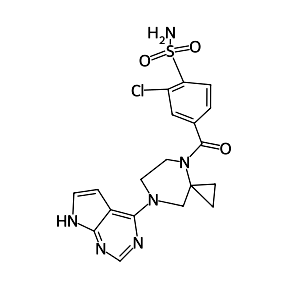 NS(=O)(=O)c1ccc(C(=O)N2CCN(c3ncnc4[nH]ccc34)CC23CC3)cc1Cl